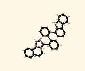 c1ccc(-c2cccc3c2oc2ccccc23)c(-c2ccccc2-c2nnc3c4ccccc4ccn23)c1